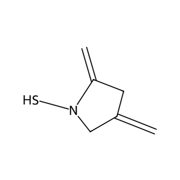 C=C1CC(=C)N(S)C1